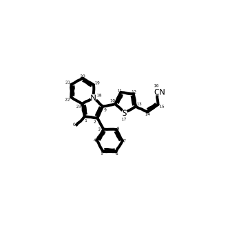 Cc1c(-c2ccccc2)c(-c2ccc(/C=C\C#N)s2)n2ccccc12